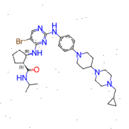 CC(C)NC(=O)[C@H]1CCC[C@H]1Nc1nc(Nc2ccc(N3CCC(N4CCN(CC5CC5)CC4)CC3)cc2)ncc1Br